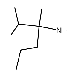 CCCC(C)([NH])C(C)C